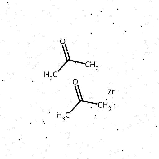 CC(C)=O.CC(C)=O.[Zr]